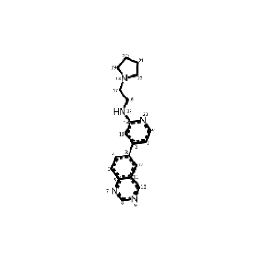 c1cc(-c2ccc3ncncc3c2)cc(NCCN2CCCC2)n1